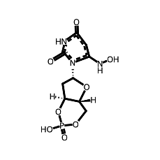 O=c1cc(NO)n([C@H]2C[C@@H]3OP(=O)(O)OC[C@H]3O2)c(=O)[nH]1